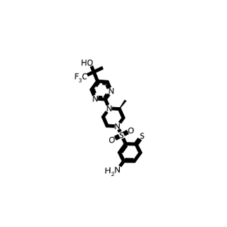 C[C@H]1CN(S(=O)(=O)C2=CC(N)=CCC2=S)CCN1c1ncc(C(C)(O)C(F)(F)F)cn1